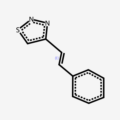 C(=C\c1csnn1)/c1ccccc1